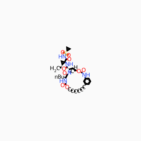 C=C[C@@H]1CC1(NC(=O)[C@@H]1C[C@@H]2CN1C(=O)[C@H](CCCC)NC(=O)OCCCCCCc1cccc(c1)NC(=O)O2)C(=O)NS(=O)(=O)C1CC1